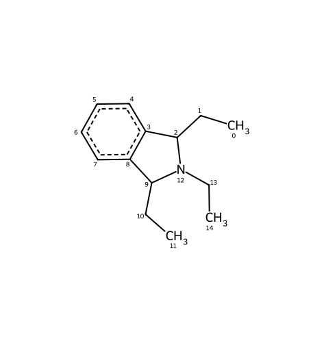 CCC1c2ccccc2C(CC)N1CC